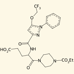 CCOC(=O)N1CCN(C(=O)C(CCC(=O)O)NC(=O)c2cc(OCC(F)(F)F)n(-c3ccccc3)n2)CC1